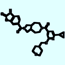 O=C(c1cc(OCC2CCOCC2)nc(C2CC2)c1)N1CCC2CN(C(=O)c3ccc4[nH]c(=O)oc4c3)CC2CC1